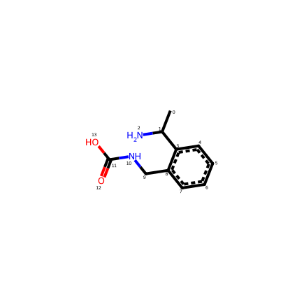 CC(N)c1ccccc1CNC(=O)O